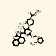 COC(=O)C1(Cc2nc(OC[C@@H]3CCCN3C)nc(N3CCN(C(=O)OC(C)(C)C)C[C@@H]3C)c2[N+](=O)[O-])CCCc2ccccc21